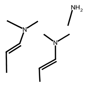 CC=CN(C)C.CC=CN(C)C.CN